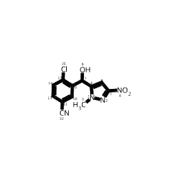 Cn1nc([N+](=O)[O-])cc1C(O)c1cc(C#N)ccc1Cl